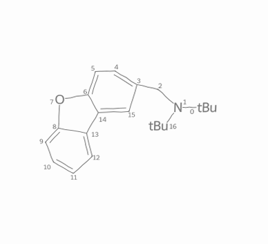 CC(C)(C)N(Cc1ccc2oc3ccccc3c2c1)C(C)(C)C